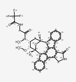 CO[C@@H]1[C@H](N(C)C(=O)CNC(=O)C(F)(F)F)C[C@H]2O[C@]1(C)n1c3ccccc3c3c4c(c5c6ccccc6n2c5c31)C(=O)NC4